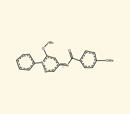 CCCCOc1c/c(=N\C(=O)c2ccc(OC)cc2)cnn1-c1ccccc1